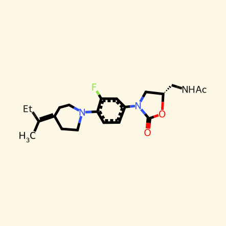 CCC(C)=C1CCN(c2ccc(N3C[C@H](CNC(C)=O)OC3=O)cc2F)CC1